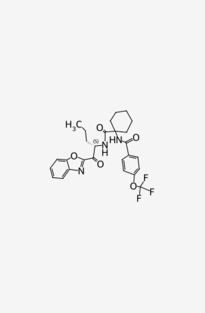 CCC[C@H](NC(=O)C1(NC(=O)c2ccc(OC(F)(F)F)cc2)CCCCC1)C(=O)c1nc2ccccc2o1